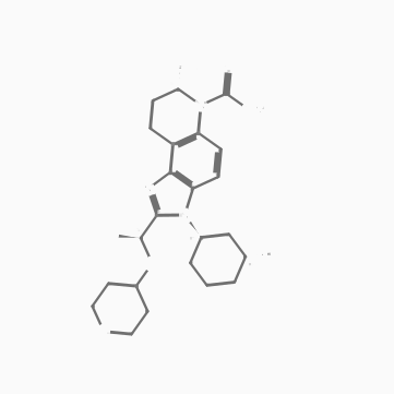 COC(=O)N1c2ccc3c(nc([C@H](C)OC4CCOCC4)n3[C@@H]3CCC[C@@H](C(=O)O)C3)c2CC[C@@H]1C